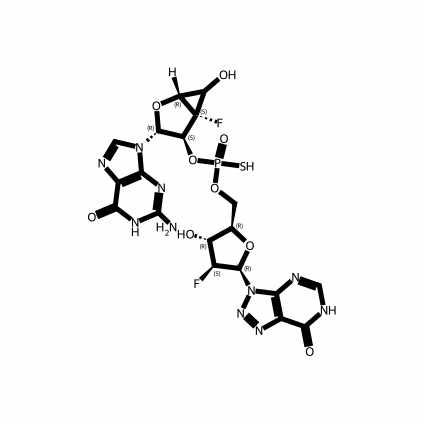 Nc1nc2c(ncn2[C@@H]2O[C@@H]3C(O)[C@@]3(F)[C@H]2OP(=O)(S)OC[C@H]2O[C@@H](n3nnc4c(=O)[nH]cnc43)[C@@H](F)[C@@H]2O)c(=O)[nH]1